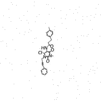 Cc1ccc(CCC(=O)Nc2c(Cl)n(CC#Cc3ccccc3)c(=O)n(C)c2=O)cc1